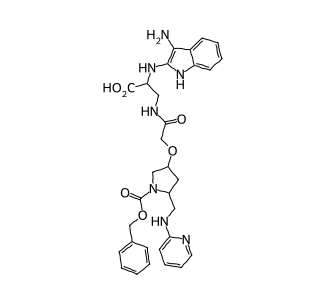 Nc1c(NC(CNC(=O)COC2CC(CNc3ccccn3)N(C(=O)OCc3ccccc3)C2)C(=O)O)[nH]c2ccccc12